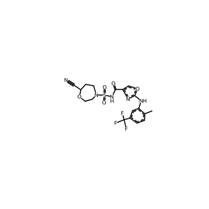 Cc1ccc(C(F)(F)F)cc1Nc1nc(C(=O)NS(=O)(=O)N2CCOC(C#N)CC2)co1